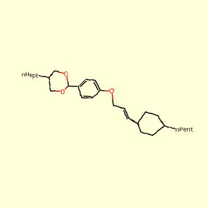 CCCCCCCC1COC(c2ccc(OCC=CC3CCC(CCCCC)CC3)cc2)OC1